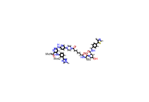 CNC(=O)c1nnc(Nc2ccc(N3CCN(C(=O)CCCCCC(=O)NC(C(=O)N4C[C@H](O)C[C@H]4C(=O)NCc4ccc(-c5scnc5C)cc4)C(C)(C)C)CC3)cn2)cc1Nc1cccc(-c2ncn(C)n2)c1OC